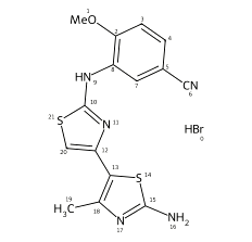 Br.COc1ccc(C#N)cc1Nc1nc(-c2sc(N)nc2C)cs1